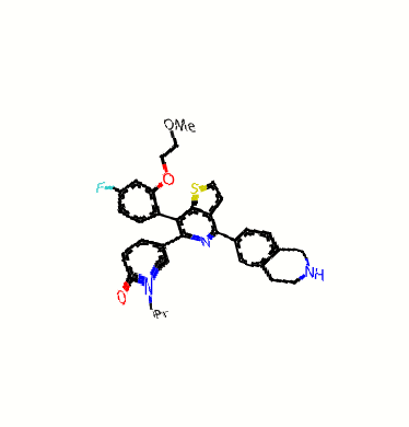 COCCOc1cc(F)ccc1-c1c(-c2ccc(=O)n(C(C)C)c2)nc(-c2ccc3c(c2)CCNC3)c2ccsc12